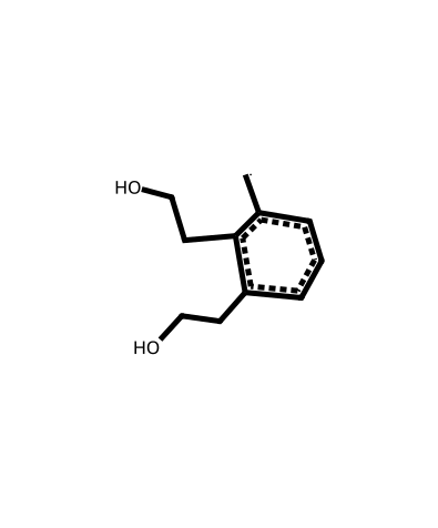 [CH2]c1cccc(CCO)c1CCO